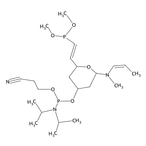 C/C=C\N(C)C1CC(OP(OCCC#N)N(C(C)C)C(C)C)CC(/C=C/P(OC)OC)O1